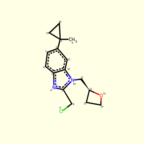 CC1(c2ccc3nc(CCl)n(C[C@@H]4CCO4)c3c2)CC1